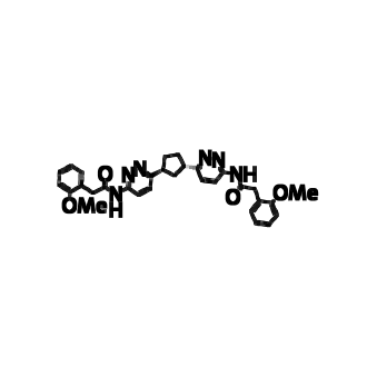 COc1ccccc1CC(=O)Nc1ccc([C@H]2CC[C@H](c3ccc(NC(=O)Cc4ccccc4OC)nn3)C2)nn1